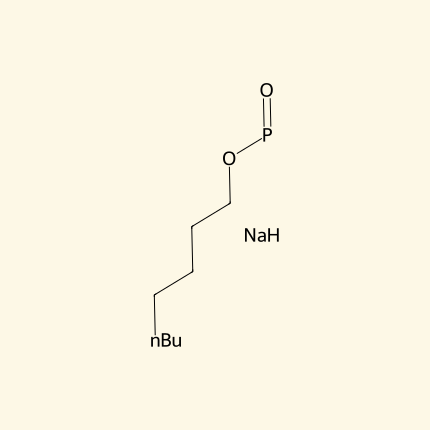 CCCCCCCCOP=O.[NaH]